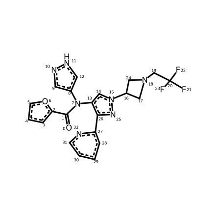 O=C(c1ccco1)N(c1cn[nH]c1)c1cn(C2CN(CC(F)(F)F)C2)nc1-c1ccccn1